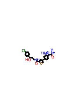 CNC(=O)c1n[nH]c2cc(-c3csc(C(=O)NCCC(O)c4ccc(Cl)cc4)c3)ccc12